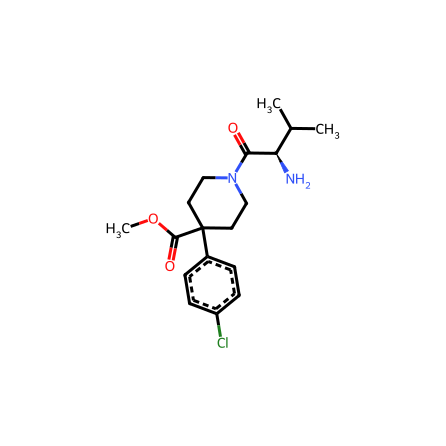 COC(=O)C1(c2ccc(Cl)cc2)CCN(C(=O)[C@H](N)C(C)C)CC1